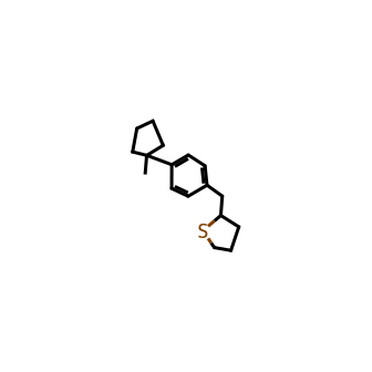 CC1(c2ccc(CC3CCCS3)cc2)CCCC1